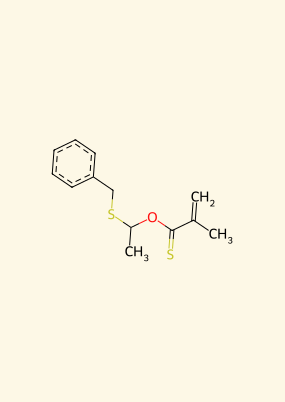 C=C(C)C(=S)OC(C)SCc1ccccc1